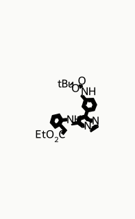 CCOC(=O)Cc1ccccc1NCc1cc(-c2cccc(CNC(=O)OC(C)(C)C)c2)c2nccn2c1